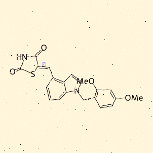 COc1ccc(Cn2ccc3c(/C=C4\SC(=O)NC4=O)cccc32)c(OC)c1